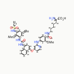 COc1cc(Nc2cc(Oc3ccc(NC(=O)Nc4cc(C(C)(C)C)cc(NS(C)(=O)=O)c4OC)c4ccccc34)ccn2)ccc1C(=O)NCCCCC[C@H](N)C(=O)O